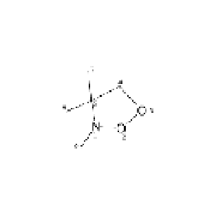 CN1OOCC1(C)C